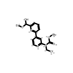 CCOC(O)c1cccc(-c2ccnc(N(CC(F)(F)F)C(=O)OC(C)(C)C)c2)n1